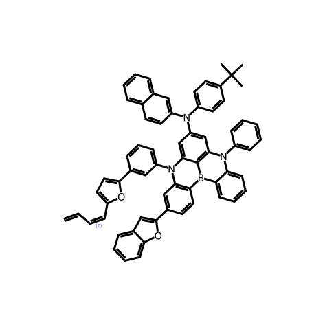 C=C/C=C\c1ccc(-c2cccc(N3c4cc(-c5cc6ccccc6o5)ccc4B4c5ccccc5N(c5ccccc5)c5cc(N(c6ccc(C(C)(C)C)cc6)c6ccc7ccccc7c6)cc3c54)c2)o1